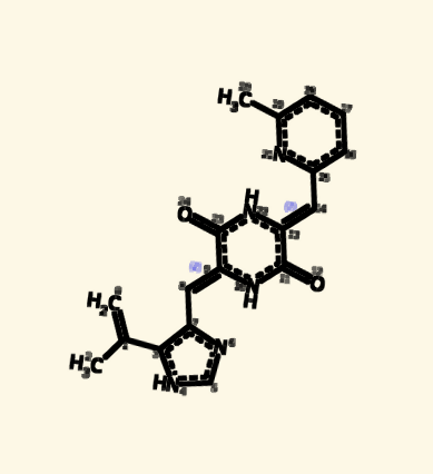 C=C(C)c1[nH]cnc1/C=c1\[nH]c(=O)/c(=C/c2cccc(C)n2)[nH]c1=O